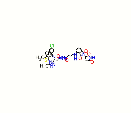 CC1=C(C)C2C(c3ccc(Cl)cc3)=N[C@@H](CC(=O)NNC(=O)CCCNc3cccc4c3C(=O)N(C3CCC(=O)NC3=O)C4=O)c3nnc(C)n3C2S1